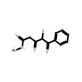 CC(C)(C)OC(=O)CC(=O)C(F)C(=O)c1ccccc1